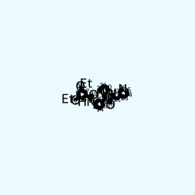 CCOc1cc(OCC)cc(C(=O)Nc2cccc(-n3c(=O)c(Cc4cccnc4)nc4cccnc43)c2)c1